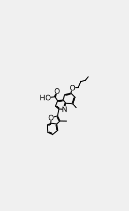 CCCCOc1cc(C)c2nc(-c3oc4ccccc4c3C)cc(C(=O)O)c2c1